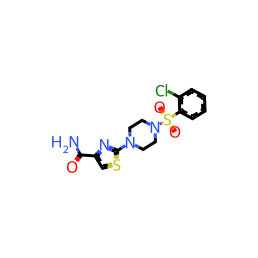 NC(=O)c1csc(N2CCN(S(=O)(=O)c3ccccc3Cl)CC2)n1